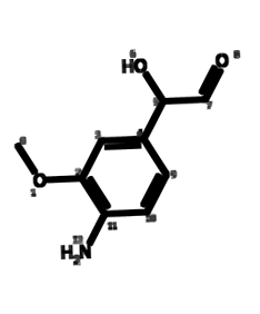 COc1cc(C(O)C=O)ccc1N